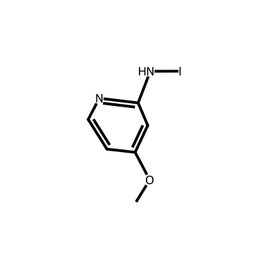 COc1ccnc(NI)c1